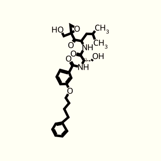 CC(C)CC(NC(=O)[C@H](CO)NC(=O)c1cccc(OCCCCc2ccccc2)c1)C(=O)C1(CO)CO1